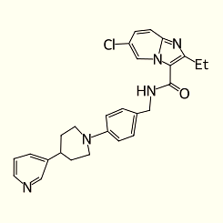 CCc1nc2ccc(Cl)cn2c1C(=O)NCc1ccc(N2CCC(c3cccnc3)CC2)cc1